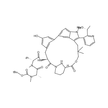 CCn1c(-c2cccnc2[C@@H](C)OC)c2c3cc(ccc31)-c1cc(O)cc(c1)C[C@H](NC(=O)[C@@H](C(C)C)N(C)C(=O)[C@H](C)N(C)C(=O)OC(C)(C)C)C(=O)N1CCC[C@@H](N1)C(=O)OCC(C)(C)C2